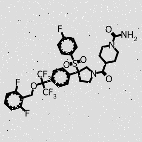 NC(=O)N1CCC(C(=O)N2CCC(c3ccc(C(OCc4c(F)cccc4F)(C(F)(F)F)C(F)(F)F)cc3)(S(=O)(=O)c3ccc(F)cc3)C2)CC1